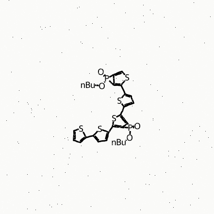 CCCCOP1(=O)c2csc(-c3ccc(-c4sc(-c5ccc(-c6cccs6)s5)c5c4P5(=O)OCCCC)s3)c21